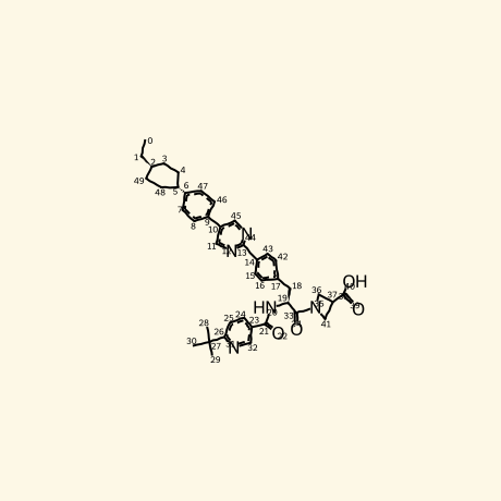 CC[C@H]1CC[C@H](c2ccc(-c3cnc(-c4ccc(C[C@H](NC(=O)c5ccc(C(C)(C)C)nc5)C(=O)N5CC(C(=O)O)C5)cc4)nc3)cc2)CC1